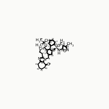 CCCc1nc2c(n1Cc1ccc(-c3ccccc3S(=O)(=O)Nc3onc(C)c3C)c(COC(C)(C)C)c1)C(=O)CCCC2